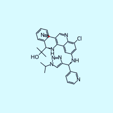 CC(C)n1cc([C@@H](Nc2cc(Cl)c3ncc(C#N)c(N[C@H](c4ccccc4)C(C)(C)O)c3c2)c2cccnc2)nn1